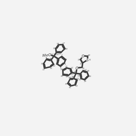 COC(c1ccccc1)(c1ccccc1)c1ccccc1.c1ccc(C(OCC2COCS2)(c2ccccc2)c2ccccc2)cc1